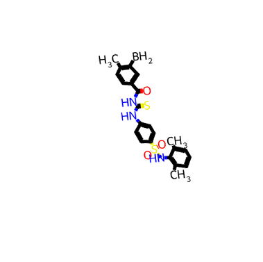 Bc1cc(C(=O)NC(=S)Nc2ccc(S(=O)(=O)Nc3c(C)cccc3C)cc2)ccc1C